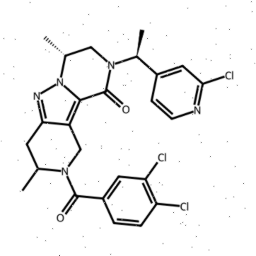 CC1Cc2nn3c(c2CN1C(=O)c1ccc(Cl)c(Cl)c1)C(=O)N([C@@H](C)c1ccnc(Cl)c1)C[C@H]3C